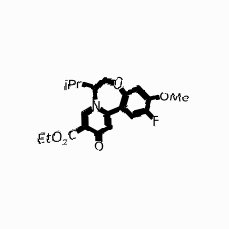 CCOC(=O)c1cn2c(cc1=O)-c1cc(F)c(OC)cc1OCC2C(C)C